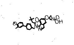 COc1ccc(-c2ccc(CN(C(=O)CC(C)(C)C)c3nccc4cc(OC5CN(C(=O)O)C5)ccc34)cc2)cc1C